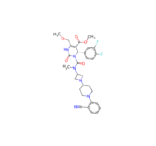 COCC1=C(C(=O)OC)[C@H](c2ccc(F)c(F)c2)N(C(=O)N(C)C2CN(C3CCN(c4ccccc4C#N)CC3)C2)C(=O)N1